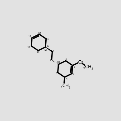 COC1=CC(C)C[C@H](CC[C@@H]2CC=CCC2)C1